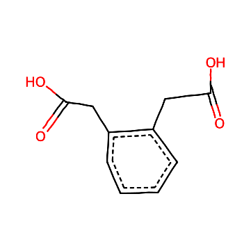 O=C(O)Cc1ccccc1CC(=O)O